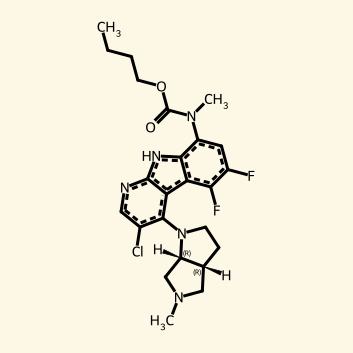 CCCCOC(=O)N(C)c1cc(F)c(F)c2c1[nH]c1ncc(Cl)c(N3CC[C@@H]4CN(C)C[C@@H]43)c12